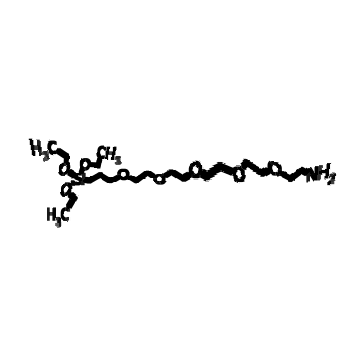 CCO[Si](CCCOCCOCCOCCOCCOCCN)(OCC)OCC